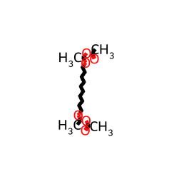 CC(=O)OC(C)OCCCCCCCCCCOC(C)OC(C)=O